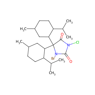 CC1CCC(C(C)C)C(C2(C3CC(C)CCC3C(C)C)C(=O)N(Cl)C(=O)N2Br)C1